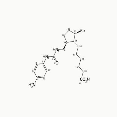 Nc1ccc(NC(=O)NC[C@H]2CC[C@@H](F)[C@@H]2CCCCCC(=O)O)cc1